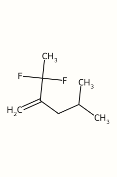 C=C(CC(C)C)C(C)(F)F